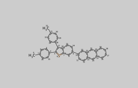 Cc1ccc(-c2sc3cc(-c4ccc5cc6ccccc6cc5c4)ccc3c2-c2ccc(C)cc2)cc1